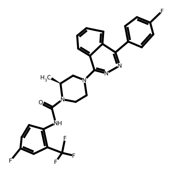 C[C@H]1CN(c2nnc(-c3ccc(F)cc3)c3ccccc23)CCN1C(=O)Nc1ccc(F)cc1C(F)(F)F